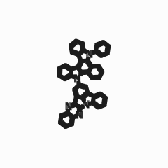 c1ccc(-n2c3ccccc3c3c4c5ccccc5n(-c5cc6c7ccccc7n7c8nc9ccccc9nc8c(c5)c67)c4c4ccccc4c32)cc1